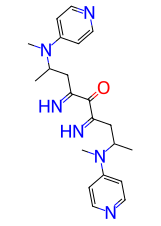 CC(CC(=N)C(=O)C(=N)CC(C)N(C)c1ccncc1)N(C)c1ccncc1